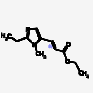 CCOC(=O)/C=C/c1cnc(CC)n1C